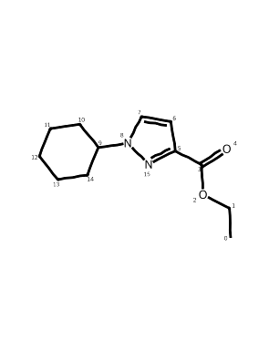 CCOC(=O)c1ccn(C2CCCCC2)n1